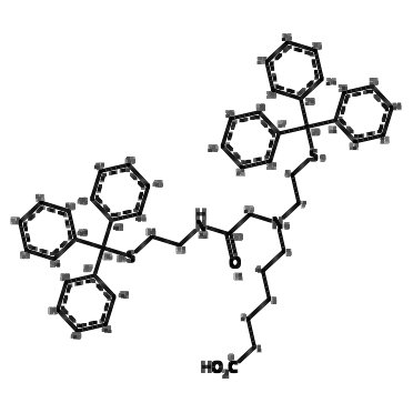 O=C(O)CCCCCN(CCSC(c1ccccc1)(c1ccccc1)c1ccccc1)CC(=O)NCCSC(c1ccccc1)(c1ccccc1)c1ccccc1